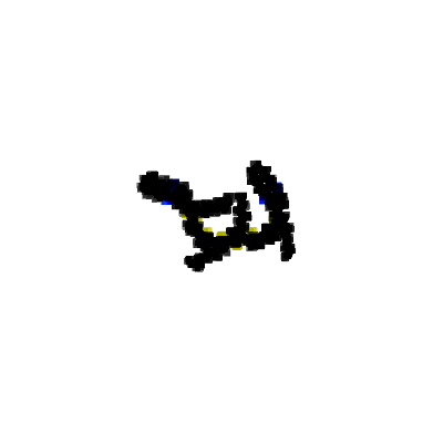 CCCCCCc1cc(-c2ccc3nc4cc5ccccc5cc4nc3c2)sc1-c1ccc(-c2ccc(-c3sc(-c4cc(CCCCCC)c(-c5ccc(-c6ccc(-c7sc(-c8ccc9nc%10cc%11ccccc%11cc%10nc9c8)cc7CCCCCC)s6)s5)s4)cc3CCCCCC)s2)s1